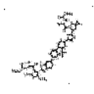 COC(=O)N[C@@H](C(=O)N1CC2(CC2)C[C@H]1c1ncc(-c2ccc3c(c2)C(F)(F)c2cc(-c4ccc5nc([C@@H]6[C@@H](C)C[C@@H](C)N6C(=O)[C@H](NC(=O)OC)C(C)C)[nH]c5c4)ccc2-3)[nH]1)C(C)C